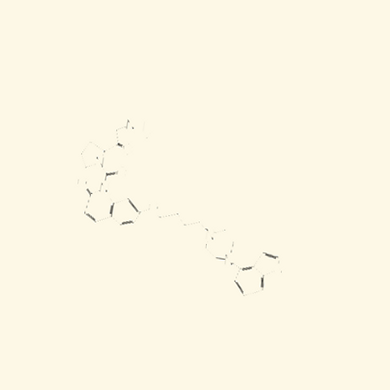 NCC(=O)C1CCCN1C(=O)n1c(=O)ccc2ccc(OCCCCN3CCN(c4cccc5sccc45)CC3)cc21